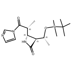 C[C@@H](O[Si](C)(C)C(C)(C)C)[C@H]1C(=O)N[C@@H]1[C@@H](C)C(=O)n1ccnc1